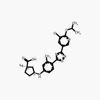 [2H][C@@]1(C(=O)O)CC[C@H](Nc2ccc(-c3nc(-c4cnc(OC(C)C)c(Cl)c4)no3)c(C)c2)C1